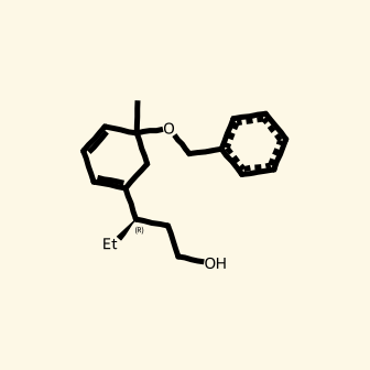 CC[C@H](CCO)C1=CC=CC(C)(OCc2ccccc2)C1